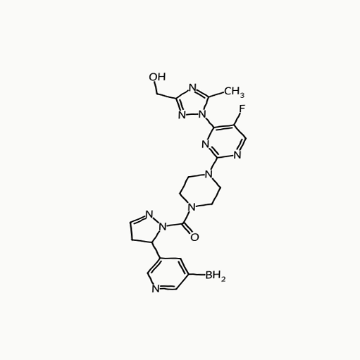 Bc1cncc(C2CC=NN2C(=O)N2CCN(c3ncc(F)c(-n4nc(CO)nc4C)n3)CC2)c1